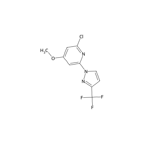 COc1cc(Cl)nc(-n2ccc(C(F)(F)F)n2)c1